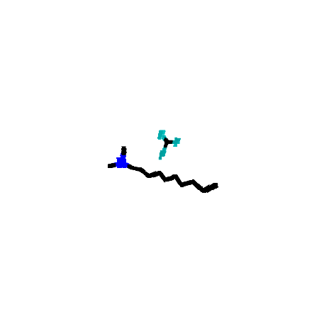 CCCCCCCCCCN(C)C.FC(F)F